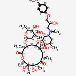 CCCCCCCCc1ccc(OCC(O)CN(C)[C@H]2C[C@@H](C)OC(O[C@@H]3C[C@H](OC4C[C@@](C)(CC)[C@@H](O)[C@H](C)O4)[C@@H](C)C(=O)O[C@H](CC)[C@@](C)(O)[C@H](O)[C@@H](C)C(=O)[C@H](C)C[C@@]3(C)O)[C@@H]2O)cc1